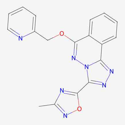 Cc1noc(-c2nnc3c4ccccc4c(OCc4ccccn4)nn23)n1